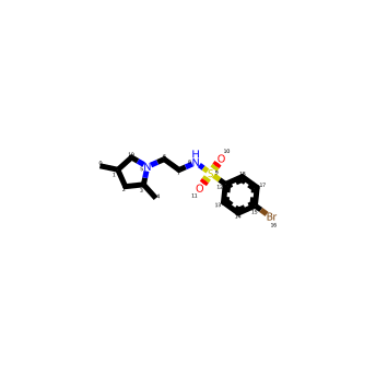 CC1CC(C)N(CCNS(=O)(=O)c2ccc(Br)cc2)C1